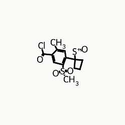 Cc1cc(C2([S+]=O)CCC2)c(S(C)(=O)=O)cc1C(=O)Cl